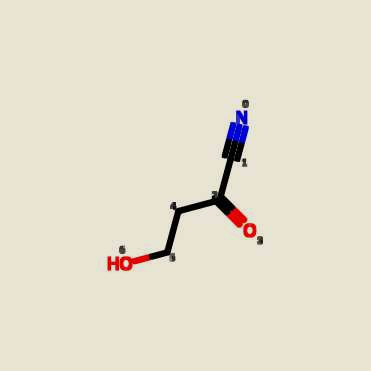 N#CC(=O)CCO